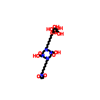 O=C(O)CN1CCCN(CCCCCCCCCCN2C(=O)C=CC2=O)CCN(CC(=O)O)CCCN(CCCCCCCCCCO[C@@H]2OC(CO)[C@@H](O)[C@H](O)C2O)CC1